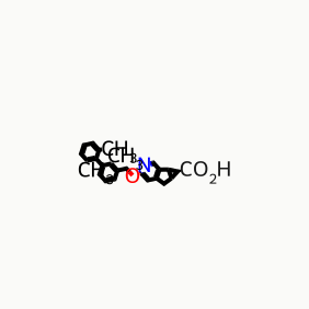 Cc1cccc(C)c1-c1cccc(COc2cc3c(cn2)C2C(C3)[C@@H]2C(=O)O)c1C